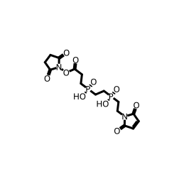 O=C(CCP(=O)(O)CCP(=O)(O)CCN1C(=O)C=CC1=O)ON1C(=O)CCC1=O